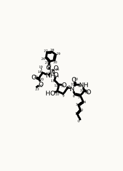 CC=C/C=C/c1cn([C@H]2CC(O)C(COP(=O)(N[C@@H](C)C(=O)OC)Oc3ccccc3)O2)c(=O)[nH]c1=O